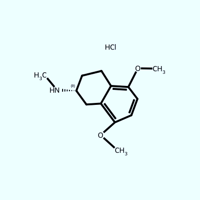 CN[C@@H]1CCc2c(OC)ccc(OC)c2C1.Cl